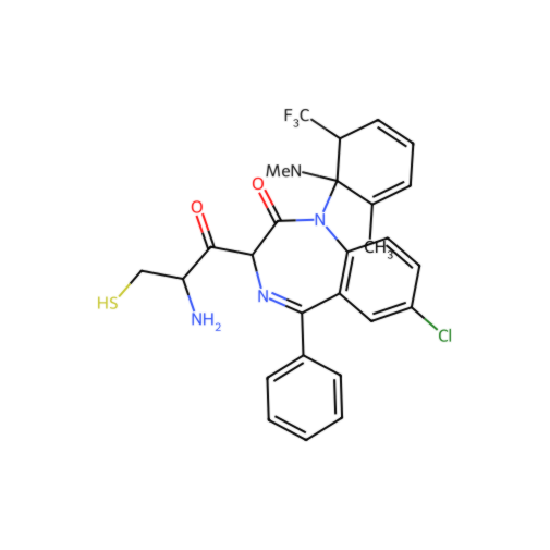 CNC1(N2C(=O)C(C(=O)C(N)CS)N=C(c3ccccc3)c3cc(Cl)ccc32)C(C)=CC=CC1C(F)(F)F